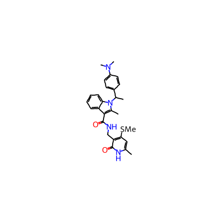 CSc1cc(C)[nH]c(=O)c1CNC(=O)c1c(C)n(C(C)c2ccc(N(C)C)cc2)c2ccccc12